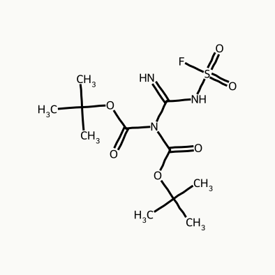 CC(C)(C)OC(=O)N(C(=N)NS(=O)(=O)F)C(=O)OC(C)(C)C